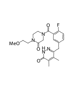 COCCN1CCN(C(=O)c2cc(Cc3n[nH]c(=O)c(C)c3C)ccc2F)CC1=O